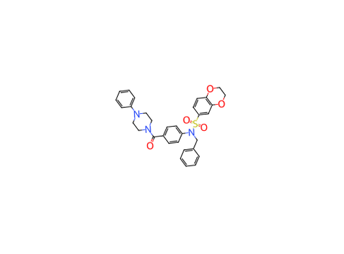 O=C(c1ccc(N(Cc2ccccc2)S(=O)(=O)c2ccc3c(c2)OCCO3)cc1)N1CCN(c2ccccc2)CC1